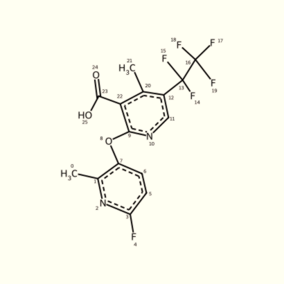 Cc1nc(F)ccc1Oc1ncc(C(F)(F)C(F)(F)F)c(C)c1C(=O)O